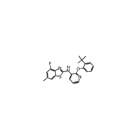 Cc1cc(F)c2nc(Nc3cccnc3Oc3ccccc3C(C)(C)C)sc2c1